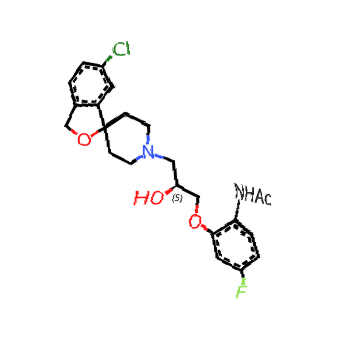 CC(=O)Nc1ccc(F)cc1OC[C@@H](O)CN1CCC2(CC1)OCc1ccc(Cl)cc12